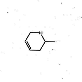 [CH2]C1CC=CCN1